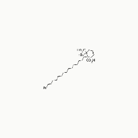 CCCCC1(C(=O)O)CC=CCC1(CCCCCCCCCCCCCCCC(C)C)C(=O)O